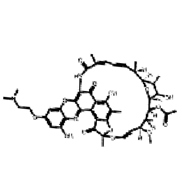 CO[C@H]1/C=C/O[C@@]2(C)Oc3c(C)c(O)c4c(=O)c(c5oc6cc(OCCN(C)C)cc(O)c6nc-5c4c3C2=O)NC(=O)/C(C)=C\C=C\[C@H](C)[C@@H]2O[C@H]([C@H](O)[C@@H]2C)[C@H](OC(C)=O)[C@@H]1C